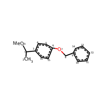 COC(C)c1ccc(OCc2ccccc2)cc1